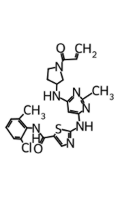 C=CC(=O)N1CCC(Nc2cc(Nc3ncc(C(=O)Nc4c(C)cccc4Cl)s3)nc(C)n2)C1